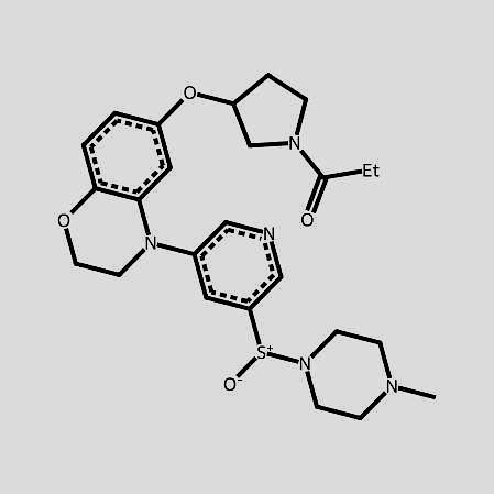 CCC(=O)N1CCC(Oc2ccc3c(c2)N(c2cncc([S+]([O-])N4CCN(C)CC4)c2)CCO3)C1